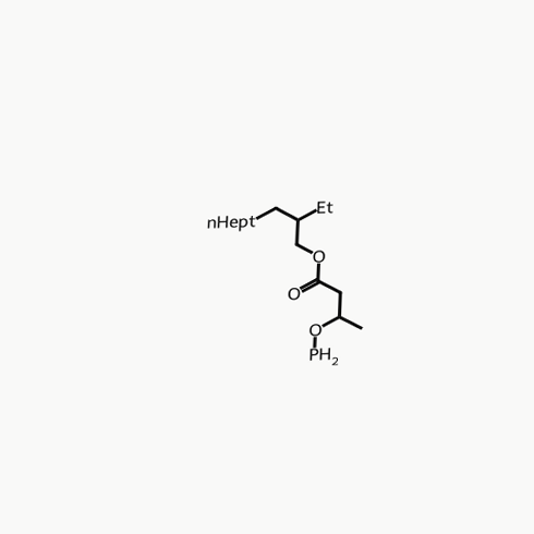 CCCCCCCCC(CC)COC(=O)CC(C)OP